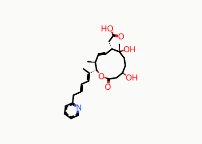 C/C(=C\C=C\Cc1ccccn1)[C@H]1OC(=O)C[C@H](O)CC[C@@](C)(O)[C@@H](CC(=O)O)/C=C/[C@@H]1C